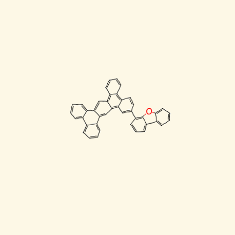 c1ccc2c(c1)oc1c(-c3ccc4c5ccccc5c5cc6c7ccccc7c7ccccc7c6cc5c4c3)cccc12